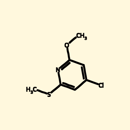 COc1cc(Cl)cc(SC)n1